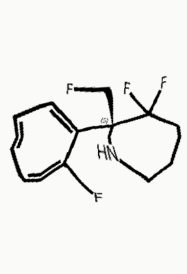 FC[C@]1(c2ccccc2F)NCCCC1(F)F